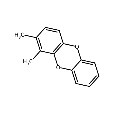 Cc1ccc2c(c1C)Oc1ccccc1O2